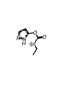 C[CH2][Sn][C](=O)Oc1ccn[nH]1